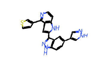 c1cc2[nH]c(-c3n[nH]c4ccc(-c5cn[nH]c5)cc34)cc2c(-c2ccsc2)n1